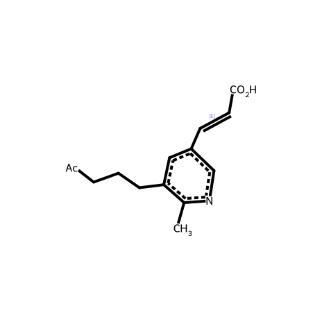 CC(=O)CCCc1cc(/C=C/C(=O)O)cnc1C